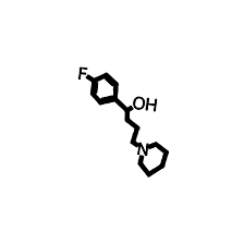 OC(CCCN1CCCCC1)c1ccc(F)cc1